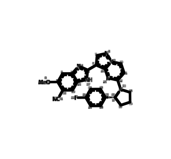 COc1cc2nc(-c3cnn4ccc(N5CCC[C@@H]5c5ccc(F)cc5)nc34)[nH]c2cc1C#N